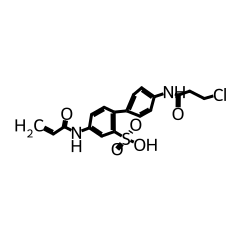 C=CC(=O)Nc1ccc(-c2ccc(NC(=O)CCCl)cc2)c(S(=O)(=O)O)c1